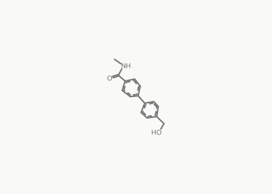 CNC(=O)c1ccc(-c2ccc(CO)cc2)cc1